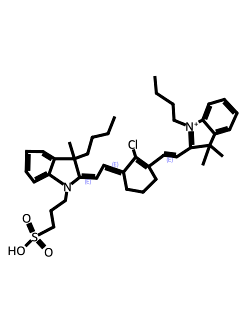 CCCC[N+]1=C(/C=C/C2=C(Cl)C(=C/C=C3/N(CCCS(=O)(=O)O)c4ccccc4C3(C)CCCC)/CCC2)C(C)(C)c2ccccc21